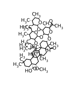 CCC1O[C@@H](OC2[C@H](O[C@H]3CCC4(C)C5CC=C6C7CC(C)(C)CC[C@]7(C(=O)O)[C@@H](OC)C[C@@]6(C)C5(C)CC[C@H]4[C@@]3(C)C=O)OC(C(C)=O)[C@@H](C)[C@@H]2O[C@@H]2OC[C@@H](C)[C@@H](C)C2C)C(O[Si](CC)(CC)CC)[C@@H](C)[C@H]1C